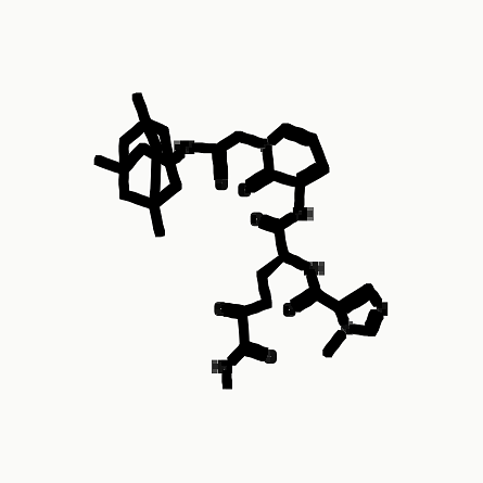 CNC(=O)C(=O)CC[C@H](NC(=O)c1cncn1C)C(=O)Nc1cccn(CC(=O)NC23CC4(C)CC(C)(CC(C)(C4)C2)C3)c1=O